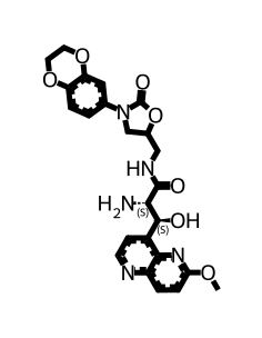 COc1ccc2nccc([C@H](O)[C@H](N)C(=O)NCC3CN(c4ccc5c(c4)OCCO5)C(=O)O3)c2n1